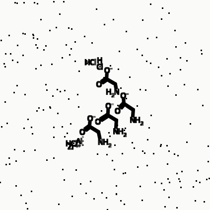 Cl.Cl.Cl.NCC(=O)[O-].NCC(=O)[O-].NCC(=O)[O-].NCC(=O)[O-].[Al].[Zr+4]